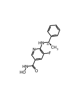 C[C@@H](Nc1ncc(C(=O)NO)cc1F)c1ccccc1